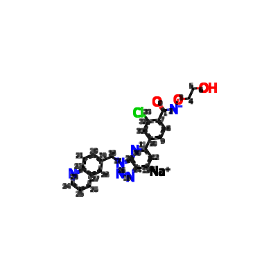 O=C([N-]OCCO)c1ccc(-c2ccc3nnn(Cc4ccc5ncccc5c4)c3n2)cc1Cl.[Na+]